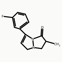 CC1CN2CC=C(c3cccc(F)c3)N2C1=O